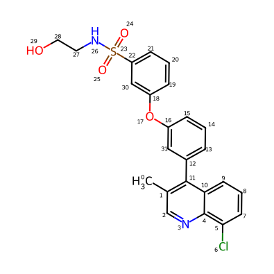 Cc1cnc2c(Cl)cccc2c1-c1cccc(Oc2cccc(S(=O)(=O)NCCO)c2)c1